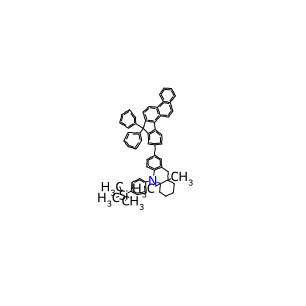 CC12CCCCC1(C)N(c1ccc([Si](C)(C)C)cc1)c1ccc(-c3ccc4c(c3)C(c3ccccc3)(c3ccccc3)c3ccc5c(ccc6ccccc65)c3-4)cc1C2